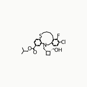 CC(C)COC(=O)c1ccc2c(c1)N(C[C@@H]1CC[C@H]1CO)Cc1ccc(Cl)c(F)c1CCCCS2